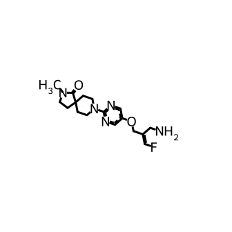 CN1CCC2(CCN(c3ncc(OC/C(=C/F)CN)cn3)CC2)C1=O